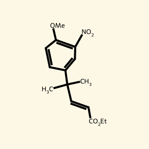 CCOC(=O)C=CC(C)(C)c1ccc(OC)c([N+](=O)[O-])c1